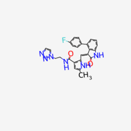 Cc1cc(C(=O)NCCn2ccnn2)c(C=C2C(=O)Nc3cccc(-c4ccc(F)cc4)c32)[nH]1